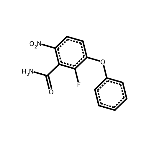 NC(=O)c1c([N+](=O)[O-])ccc(Oc2ccccc2)c1F